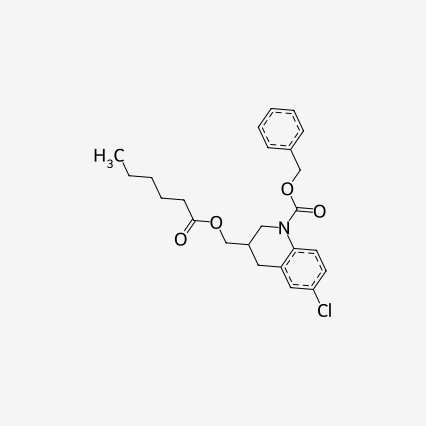 CCCCCC(=O)OCC1Cc2cc(Cl)ccc2N(C(=O)OCc2ccccc2)C1